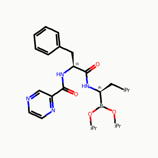 CC(C)C[C@H](NC(=O)[C@H](Cc1ccccc1)NC(=O)c1cnccn1)B(OC(C)C)OC(C)C